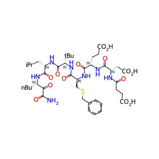 CCCC[C@H](NC(=O)[C@H](CC(C)C)NC(=O)[C@@H](NC(=O)[C@H](CSCc1ccccc1)NC(=O)[C@H](CCC(=O)O)NC(=O)[C@H](CC(=O)O)NC(=O)CCC(=O)O)C(C)(C)C)C(=O)C(N)=O